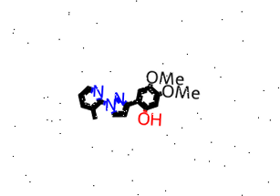 COc1cc(O)c(-c2ccn(-c3ncccc3C)n2)cc1OC